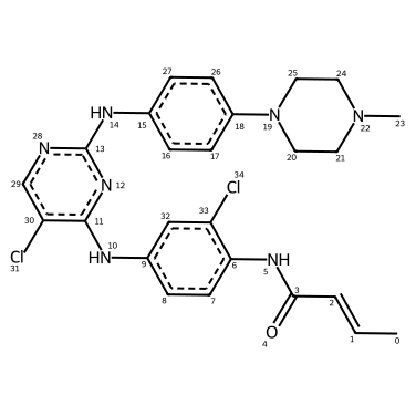 C/C=C/C(=O)Nc1ccc(Nc2nc(Nc3ccc(N4CCN(C)CC4)cc3)ncc2Cl)cc1Cl